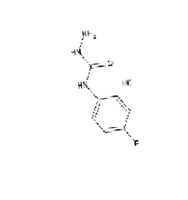 Cl.NNC(=O)Nc1ccc(F)cc1